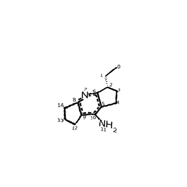 CC[C@@H]1CCc2c1nc1c(c2N)CCC1